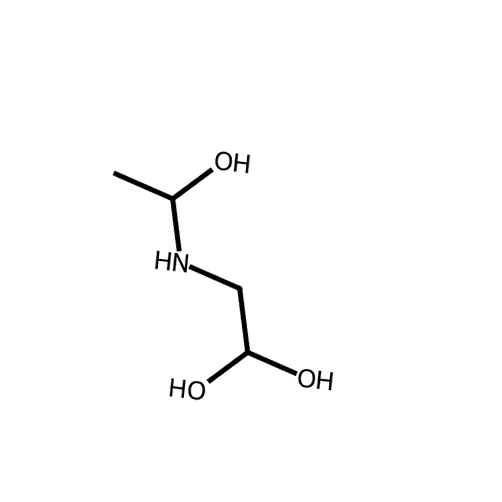 CC(O)NCC(O)O